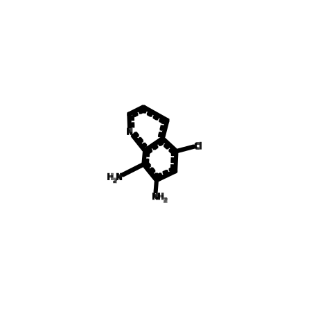 Nc1cc(Cl)c2cccnc2c1N